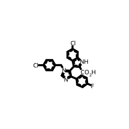 O=C(O)c1[nH]c2cc(Cl)ccc2c1-c1c(-c2ccc(F)cc2)ncn1Cc1ccc(Cl)cc1